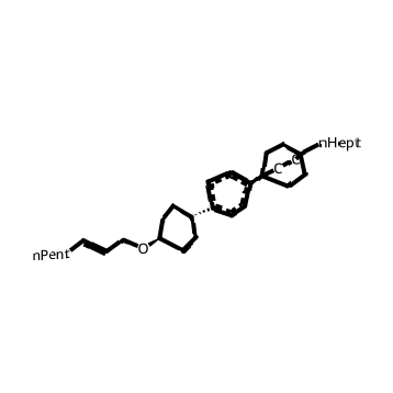 CCCCCC=CCO[C@H]1CC[C@H](c2ccc(C34CCC(CCCCCCC)(CC3)CC4)cc2)CC1